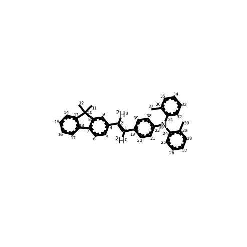 [2H]/C(=C(/[2H])c1ccc2c(c1)C(C)(C)c1ccccc1-2)c1ccc(N(c2ccccc2C)c2ccccc2C)cc1